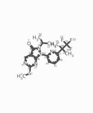 CSc1ncc2c(=O)n(C(C)C)n(-c3cccc(C(C)(C)C(F)(F)F)n3)c2n1